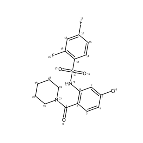 O=C(c1ccc(Cl)cc1NS(=O)(=O)c1ccc(F)cc1F)N1CCCCC1